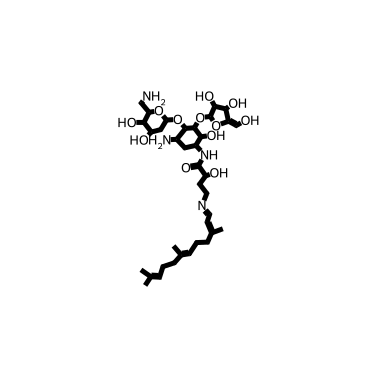 CC(C)=CCC/C(C)=C/CC/C(C)=C/C=N/CCC(O)C(=O)NC1CC(N)C(OC2CC(O)C(O)C(CN)O2)C(OC2O/C(=C/O)C(O)C2O)C1O